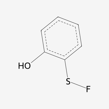 Oc1ccccc1SF